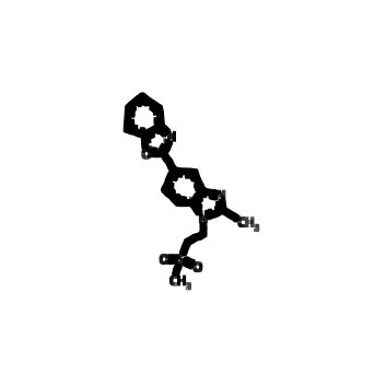 Cc1nc2cc(-c3nc4ccccc4o3)ccc2n1CCS(C)(=O)=O